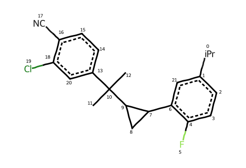 CC(C)c1ccc(F)c(C2CC2C(C)(C)c2ccc(C#N)c(Cl)c2)c1